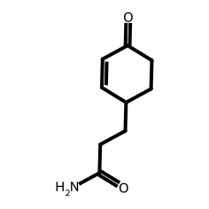 NC(=O)CCC1C=CC(=O)CC1